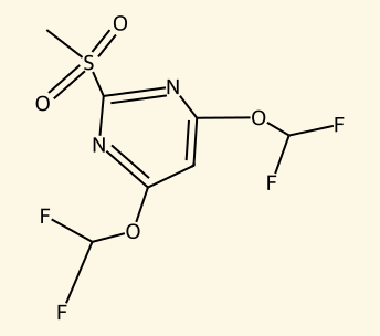 CS(=O)(=O)c1nc(OC(F)F)cc(OC(F)F)n1